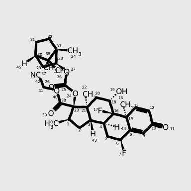 C[C@@H]1C[C@H]2[C@@H]3C[C@H](F)C4=CC(=O)C=C[C@]4(C)[C@@]3(F)[C@@H](O)C[C@]2(C)[C@@]1(OC(=O)O[C@H]1C[C@@H]2CC[C@@]1(C)C2(C)C)C(=O)OCC#N